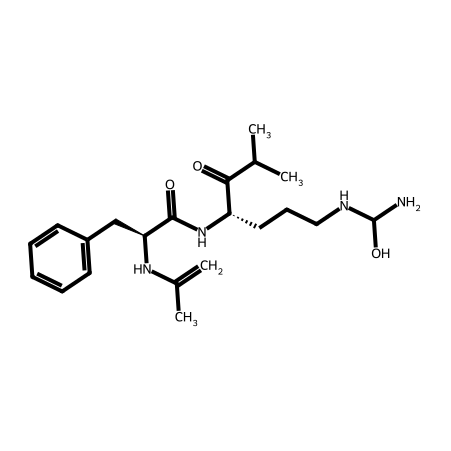 C=C(C)N[C@@H](Cc1ccccc1)C(=O)N[C@@H](CCCNC(N)O)C(=O)C(C)C